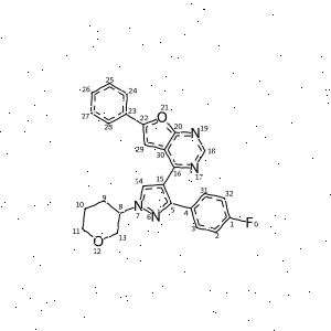 Fc1ccc(-c2nn(C3CCCOC3)cc2-c2ncnc3oc(-c4ccccc4)cc23)cc1